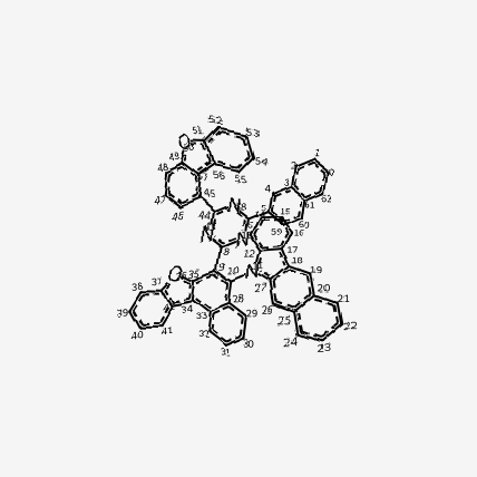 c1ccc2cc(-c3nc(-c4c(-n5c6ccccc6c6cc7ccccc7cc65)c5ccccc5c5c4oc4ccccc45)nc(-c4cccc5oc6ccccc6c45)n3)ccc2c1